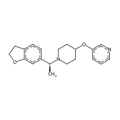 C[C@@H](c1ccc2c(c1)OCC2)N1CCC(Oc2cccnc2)CC1